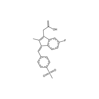 C=C(O)CC1=C(C)/C(=C/c2ccc(S(C)(=O)=O)cc2)c2ccc(F)cc21